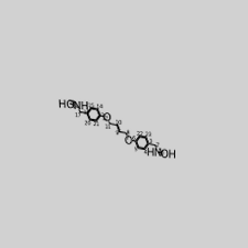 ONCc1ccc(OC/C=C/COc2ccc(CNO)cc2)cc1